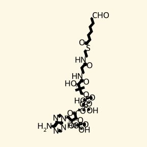 CC(C)(COP(=O)(O)OP(=O)(O)OC[C@H]1O[C@@H](n2cnc3c(N)ncnc32)[C@H](O)[C@@H]1OP(=O)(O)O)[C@@H](O)C(=O)NCCC(=O)NCCSC(=O)CCCCCCC=O